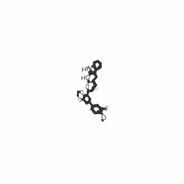 COc1ccc(-c2cc3c(c(C(=O)/C=C\[C@@H](CO)Cc4c[nH]c5ccccc45)c2)OCCO3)cc1F